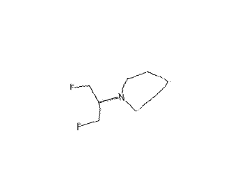 FCC(CF)N1CC[CH]CC1